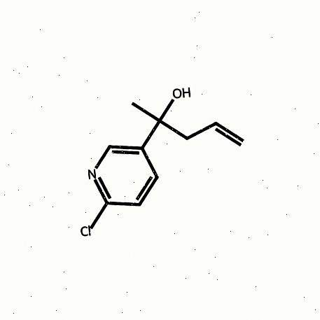 C=CCC(C)(O)c1ccc(Cl)nc1